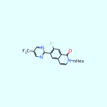 CCCCCCn1ccc2cc(-c3ncc(C(F)(F)F)cn3)c(F)cc2c1=O